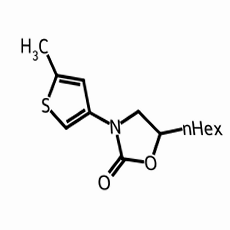 CCCCCCC1CN(c2csc(C)c2)C(=O)O1